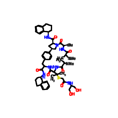 CNC(C)C(=O)NC(C(=O)N1C[C@@H](c2ccc(CC(NC(=O)C(NC(=O)C(C)NC)C(C)(C)SCC(=O)NC(CO)CO)C(=O)N[C@@H]3CCCc4ccccc43)cc2)C[C@H]1C(=O)N[C@@H]1CCCc2ccccc21)C(C)(C)C